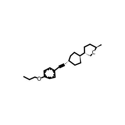 CCCOc1ccc(C#C[C@H]2CC[C@H]([C@H]3CC[C@H](C)CC3)CC2)cc1